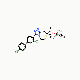 CC1(CO[Si](C)(C)C(C)(C)C)Cc2nnc(-c3ccc(-c4ccc(Cl)cc4)cc3Cl)n2CCS1